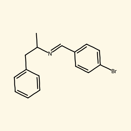 CC(Cc1ccccc1)N=Cc1ccc(Br)cc1